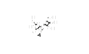 Nc1nc2c(c(=O)[nH]1)N(C1CC1)CN2[C@@H]1O[C@H](CO)[C@@H](O)[C@H]1O